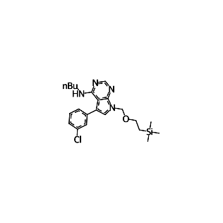 CCCCNc1ncnc2c1c(-c1cccc(Cl)c1)cn2COCC[Si](C)(C)C